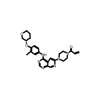 C=CC(=O)N1CCN(c2cc3c(Nc4ccc(O[C@@H]5CCCOC5)c(C)c4)ncnc3cn2)CC1